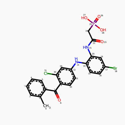 Cc1ccccc1C(=O)c1ccc(Nc2ccc(Br)cc2NC(=O)CP(=O)(O)O)cc1Cl